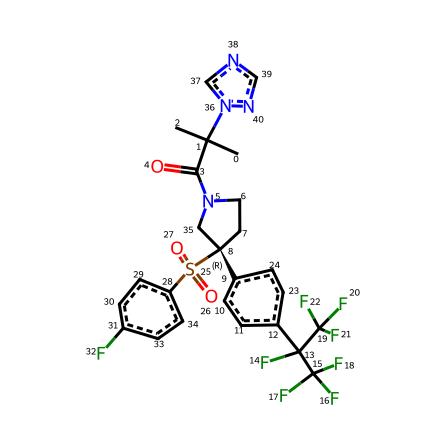 CC(C)(C(=O)N1CC[C@](c2ccc(C(F)(C(F)(F)F)C(F)(F)F)cc2)(S(=O)(=O)c2ccc(F)cc2)C1)n1cncn1